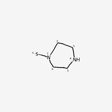 [S]N1CCNCC1